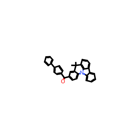 CC1(C)c2cc(C(=O)c3ccc(-c4ccccc4)cc3)ccc2-n2c3ccccc3c3cccc1c32